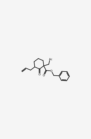 C=CCC1CCCC(CC(C)=O)(C(=O)OCc2ccccc2)C1=O